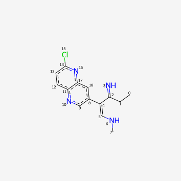 CCC(=N)/C(=C\NC)c1cnc2ccc(Cl)nc2c1